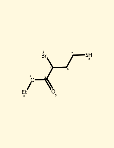 CCOC(=O)C(Br)CCS